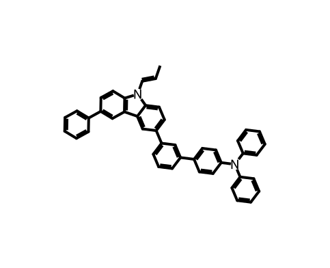 C/C=C/n1c2ccc(-c3ccccc3)cc2c2cc(-c3cccc(-c4ccc(N(c5ccccc5)c5ccccc5)cc4)c3)ccc21